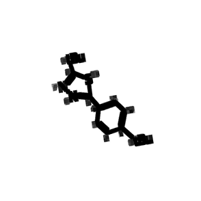 CC(C)(C)c1ccc(-c2nnc(C(C)(C)C)s2)cc1